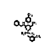 C=C[C@@H](OCC(C)(C)Cc1cccc(C)c1)[C@H](C(=O)NCc1ccccc1)c1ccc(C)cc1